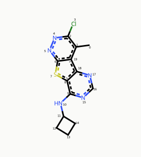 Cc1c(Cl)nnc2sc3c(NC4CCC4)ncnc3c12